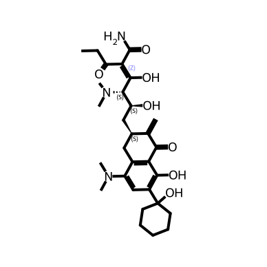 C=C1C(=O)c2c(O)c(C3(O)CCCCC3)cc(N(C)C)c2C[C@H]1C[C@H](O)[C@@H](/C(O)=C(/C(N)=O)C(=O)CC)N(C)C